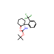 CC(C)(C)OC(=O)N[C@@]1(c2ccccc2C(F)(F)F)CCCCC1=O